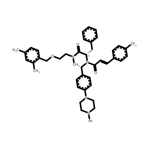 CC(=O)N1CCN(c2ccc(CN(C(=O)C=Cc3ccc(C(F)(F)F)cc3)[C@@H](Cc3ccccc3)C(=O)N(C)CCOCc3ccc(C)cc3C)cc2)CC1